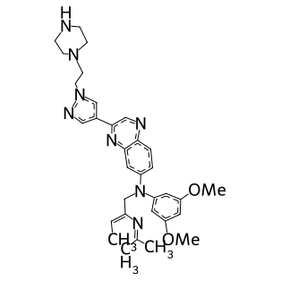 C/C=C(/CN(c1cc(OC)cc(OC)c1)c1ccc2ncc(-c3cnn(CCN4CCNCC4)c3)nc2c1)N=C(C)C